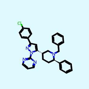 Clc1ccc(-c2cc([C@H]3CC[C@H](c4ccccc4)N(Cc4ccccc4)C3)n(-c3ncccn3)n2)cc1